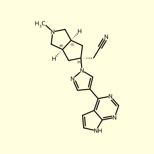 CN1C[C@@H]2C[C@](CC#N)(n3cc(-c4ncnc5[nH]ccc45)cn3)C[C@@H]2C1